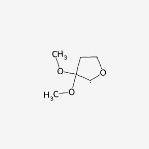 COC1(OC)[CH]OCC1